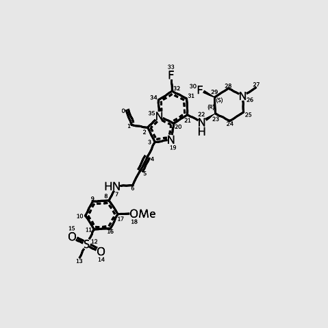 C=Cc1c(C#CCNc2ccc(S(C)(=O)=O)cc2OC)nc2c(N[C@@H]3CCN(C)C[C@@H]3F)cc(F)cn12